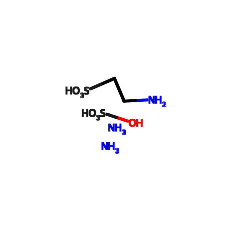 N.N.NCCS(=O)(=O)O.O=S(=O)(O)O